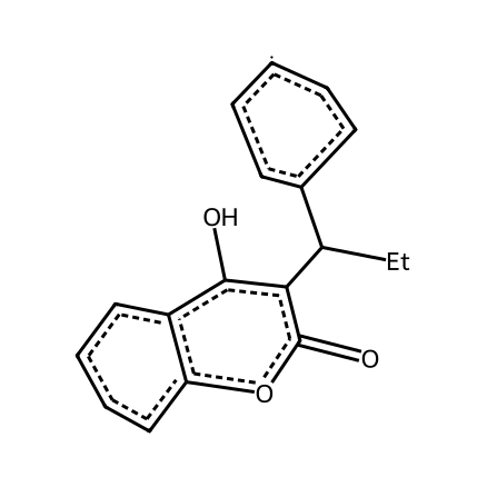 CCC(c1cc[c]cc1)c1c(O)c2ccccc2oc1=O